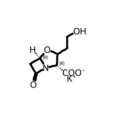 O=C([O-])[C@H]1C(CCO)O[C@@H]2CC(=O)N21.[K+]